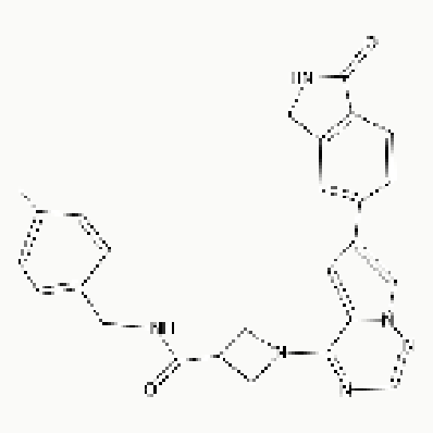 Cc1ccc(CNC(=O)C2CN(c3ncnn4cc(-c5ccc6c(c5)CNC6=O)cc34)C2)cc1